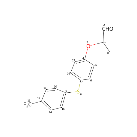 CC(C=O)Oc1ccc(Sc2ccc(C(F)(F)F)cc2)cc1